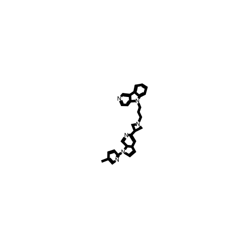 Cc1ccc(N2C=CC3C=C(C4CN(CCCn5c6ccccc6c6cnccc65)C4)N=CC32)nc1